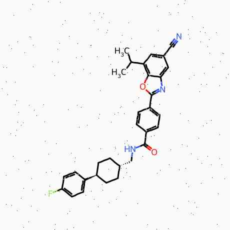 CC(C)c1cc(C#N)cc2nc(-c3ccc(C(=O)NC[C@H]4CC[C@H](c5ccc(F)cc5)CC4)cc3)oc12